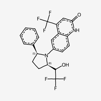 O=c1cc(C(F)(F)F)c2cc(N3[C@@H](C(O)C(F)(F)F)CC[C@H]3c3ccccc3)ccc2[nH]1